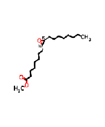 CCCCCCCC[C@@H]1O[C@H]1CCCCCCCC(=O)OC